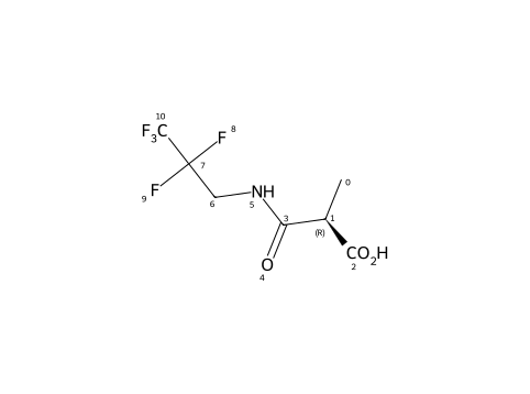 C[C@@H](C(=O)O)C(=O)NCC(F)(F)C(F)(F)F